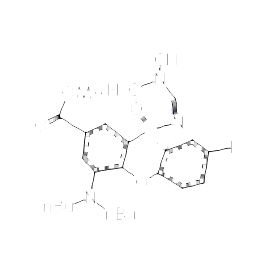 CCCCN(CCCC)c1cc(C(=O)OC)cc(S(=O)(=O)/N=C\N(C)C)c1Oc1ccc(F)cc1